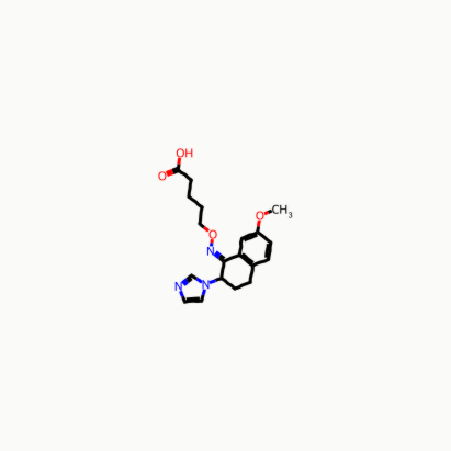 COc1ccc2c(c1)C(=NOCCCCC(=O)O)C(n1ccnc1)CC2